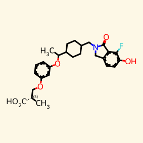 CC(Oc1cccc(OC[C@H](C)C(=O)O)c1)C1CCC(CN2Cc3ccc(O)c(F)c3C2=O)CC1